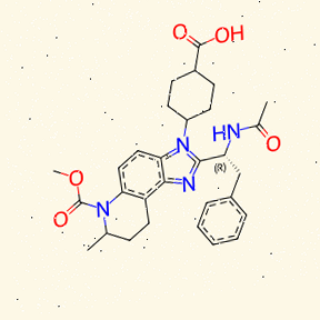 COC(=O)N1c2ccc3c(nc([C@@H](Cc4ccccc4)NC(C)=O)n3C3CCC(C(=O)O)CC3)c2CCC1C